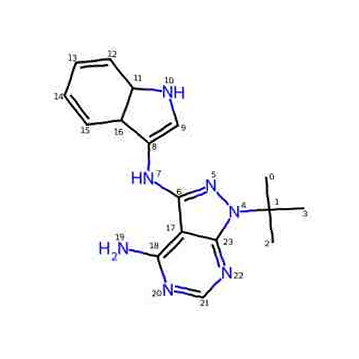 CC(C)(C)n1nc(NC2=CNC3C=CC=CC23)c2c(N)ncnc21